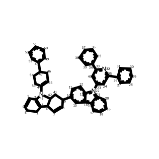 C1=CC2=C(CC1)C1C=CC(c3ccc4c(c3)c3ccccc3n4-c3cc(-c4ccccc4)nc(-c4ccccc4)c3)CC1N2C1=CCC(c2ccccc2)CC1